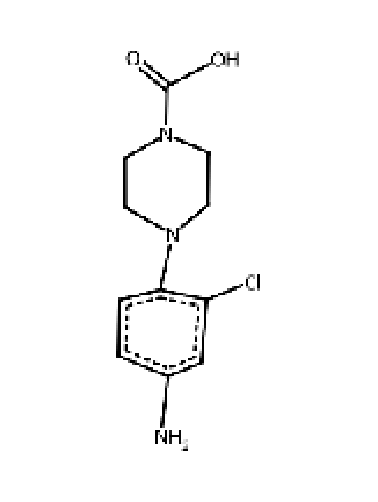 Nc1ccc(N2CCN(C(=O)O)CC2)c(Cl)c1